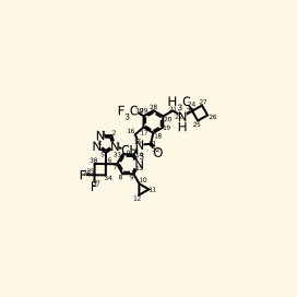 Cn1cnnc1C1(c2cc(C3CC3)nc(N3Cc4c(cc(CNC5(C)CCC5)cc4C(F)(F)F)C3=O)c2)CC(F)(F)C1